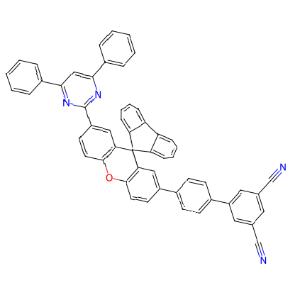 N#Cc1cc(C#N)cc(-c2ccc(-c3ccc4c(c3)C3(c5cc(-c6nc(-c7ccccc7)cc(-c7ccccc7)n6)ccc5O4)c4ccccc4-c4ccccc43)cc2)c1